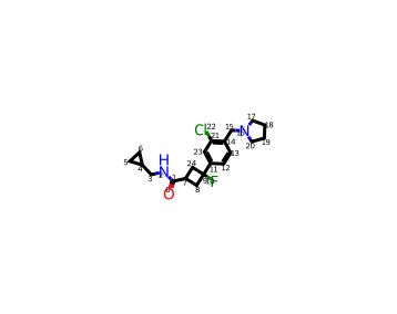 O=C(NCC1CC1)C1CC(F)(c2ccc(CN3CCCC3)c(Cl)c2)C1